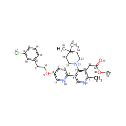 Cc1ncc(-c2ccc(OCCc3cccc(Cl)c3)cn2)c(N2CCC(C)(C)CC2)c1CC(=O)OC(C)C